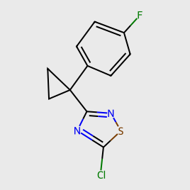 Fc1ccc(C2(c3nsc(Cl)n3)CC2)cc1